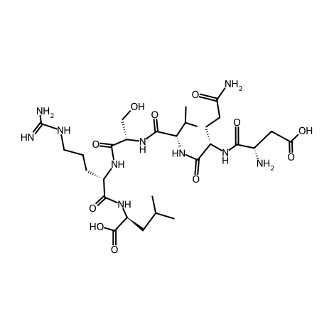 CC(C)C[C@H](NC(=O)[C@H](CCCNC(=N)N)NC(=O)[C@H](CO)NC(=O)[C@@H](NC(=O)[C@H](CCC(N)=O)NC(=O)[C@@H](N)CC(=O)O)C(C)C)C(=O)O